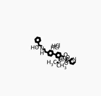 CC(C)Sc1cc(-c2ccc(CCNC[C@H](O)c3ccccc3)cc2)ccc1C(=O)NS(=O)(=O)c1cccnc1.Cl.Cl